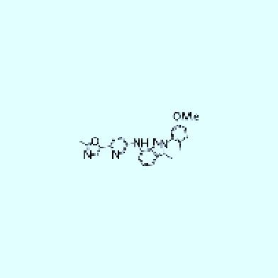 COc1ccc(C)c(-n2nc3c(Nc4ccc(-c5cnc(C)o5)nc4)cccc3c2C)c1